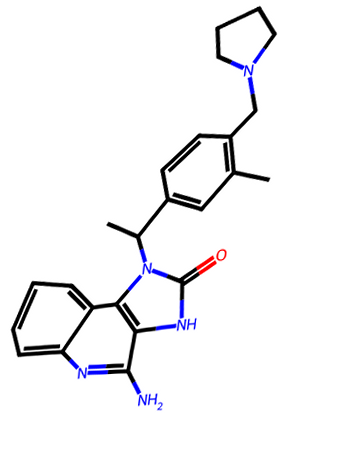 Cc1cc(C(C)n2c(=O)[nH]c3c(N)nc4ccccc4c32)ccc1CN1CCCC1